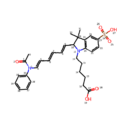 CC(=O)N(/C=C/C=C/C=C/C1N(CCCCCC(=O)O)c2ccc(S(=O)(=O)O)cc2C1(C)C)c1ccccc1